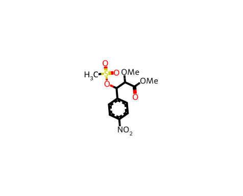 COC(=O)C(OC)C(OS(C)(=O)=O)c1ccc([N+](=O)[O-])cc1